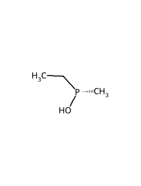 CC[P@](C)O